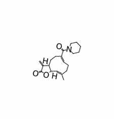 C=C1C(=O)O[C@@H]2/C=C(\C)CC/C=C(\C(=O)N3CCCCC3)CC[C@H]12